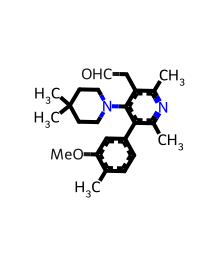 COc1cc(-c2c(C)nc(C)c(CC=O)c2N2CCC(C)(C)CC2)ccc1C